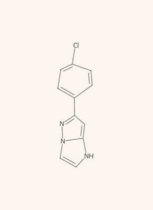 Clc1ccc(-c2cc3[nH]ccn3n2)cc1